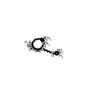 COc1cc2cc(c1Cl)N(C)C(=O)C[C@H](OC(=O)CCCCCNC(=O)c1ccc(N)c(N)c1)[C@@H]1O[C@H]1[C@H](C)[C@@H]1C[C@@](O)(NC(=O)O1)[C@H](OC)/C=C/C=C/C2